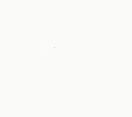 CCOC(=O)c1cn2cc(/C=C/c3ccc(Cl)cc3)ccc2n1